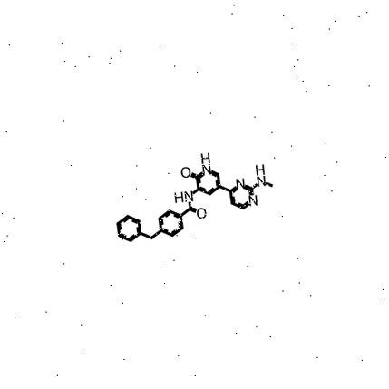 CNc1nccc(-c2c[nH]c(=O)c(NC(=O)c3ccc(Cc4ccccc4)cc3)c2)n1